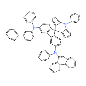 c1ccc(-c2cccc(N(c3ccccc3)c3ccc4c(c3)-c3cc(N(c5ccccc5)c5cc6ccccc6c6ccccc56)ccc3C43c4ccccc4N(c4ccccc4)c4ccccc43)c2)cc1